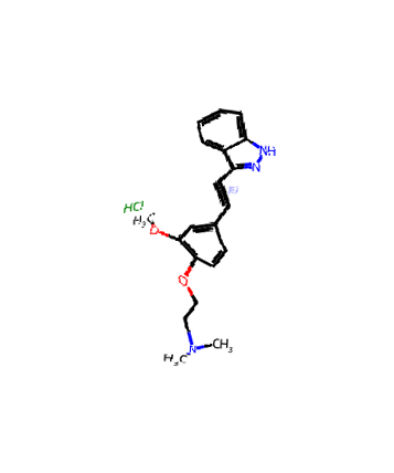 COc1cc(/C=C/c2n[nH]c3ccccc23)ccc1OCCN(C)C.Cl